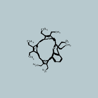 CCC1=C(CC)c2cc3[nH]c(c(CC)c3CC)c3cccc4c3nc(cc3[nH]c(cc1n2)c(CC)c3CC)C4(CC)CC